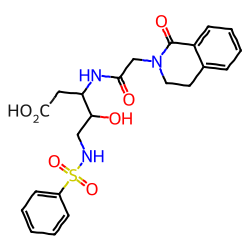 O=C(O)CC(NC(=O)CN1CCc2ccccc2C1=O)C(O)CNS(=O)(=O)c1ccccc1